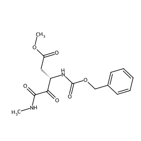 CNC(=O)C(=O)[C@H](CC(=O)OC)NC(=O)OCc1ccccc1